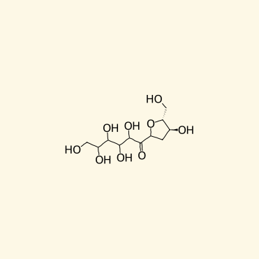 O=C(C1C[C@H](O)[C@@H](CO)O1)C(O)C(O)C(O)C(O)CO